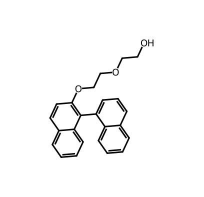 OCCOCCOc1ccc2ccccc2c1-c1cccc2ccccc12